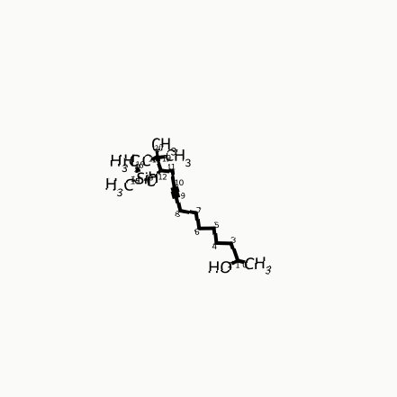 CC(O)CCCCCCC#CCC(O[SiH](C)C)C(C)(C)C